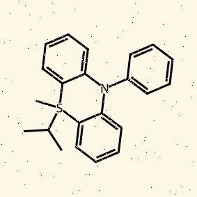 CC(C)S1(C)c2ccccc2N(c2ccccc2)c2ccccc21